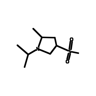 CC(C)N1CC(S(C)(=O)=O)CC1C